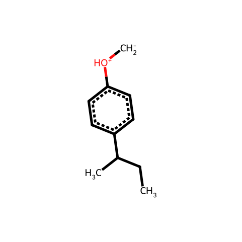 [CH2-][OH+]c1ccc(C(C)CC)cc1